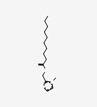 CCCCCCCCCC(=O)OCc1[nH]cc[n+]1C.[Cl-]